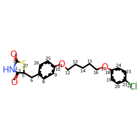 O=C1NC(=O)C(Cc2ccc(OCCCCCOc3ccc(Cl)cc3)cc2)S1